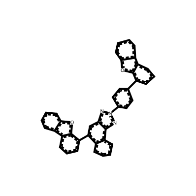 c1ccc2c(c1)oc1c(-c3ccc(-n4nc5cc(-c6cccc7c6oc6ccccc67)c6ccccc6c5n4)cc3)cccc12